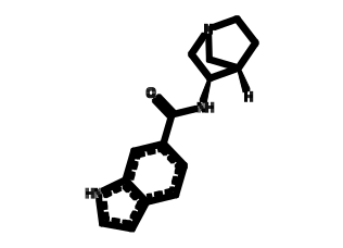 O=C(N[C@H]1CN2CC[C@H]1C2)c1ccc2cc[nH]c2c1